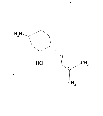 CC(C)C=CC1CCC(N)CC1.Cl